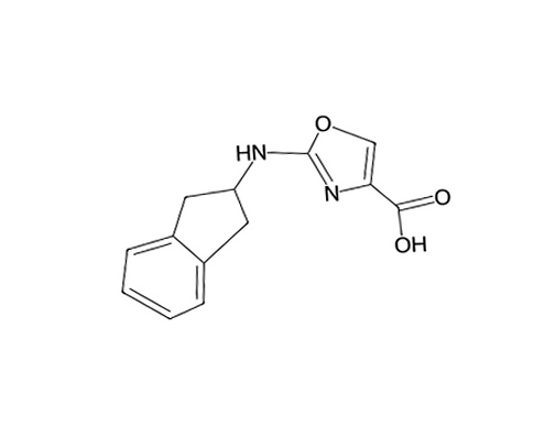 O=C(O)c1coc(NC2Cc3ccccc3C2)n1